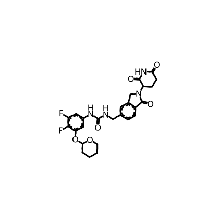 O=C1CCC(N2Cc3cc(CNC(=O)Nc4cc(F)c(F)c(OC5CCCCO5)c4)ccc3C2=O)C(=O)N1